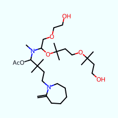 C=C1CCCCCN1CCC(C)(C)C(OC(C)=O)N(C)C(COCCO)OC(C)(C)CCOC(C)(C)CCO